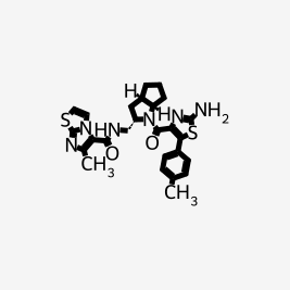 Cc1ccc(-c2sc(N)nc2C(=O)N2[C@H](CNC(=O)c3c(C)nc4sccn34)C[C@@H]3CCC[C@@H]32)cc1